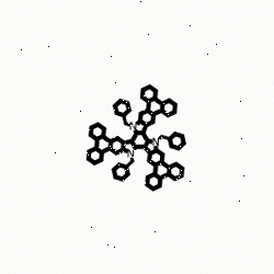 c1ccc(Cn2c3cc4c5ccccc5c5ccccc5c4cc3c3c2c2c4cc5c6ccccc6c6ccccc6c5cc4n(Cc4ccccc4)c2c2c4cc5c6ccccc6c6ccccc6c5cc4n(Cc4ccccc4)c32)cc1